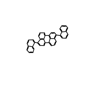 c1ccc2c(-c3ccc4c5cccc6c(-c7cccc8ccccc78)ccc(c7cccc3c74)c65)cccc2c1